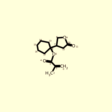 C=C(C)C(=O)OC1(C2COC(=O)C2)CCCCC1